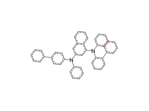 c1ccc(-c2ccc(N(c3ccccc3)c3cc(N(c4ccccc4)c4ccccc4-c4ccccc4)c4ccccc4c3)cc2)cc1